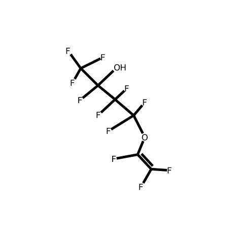 OC(F)(C(F)(F)F)C(F)(F)C(F)(F)OC(F)=C(F)F